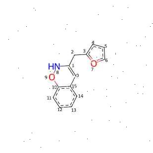 C1=C(Cc2ccco2)NOc2ccccc21